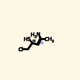 C/C(N)=C/[C@H](S)CCl